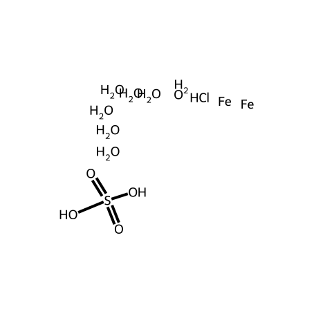 Cl.O.O.O.O.O.O.O.O=S(=O)(O)O.[Fe].[Fe]